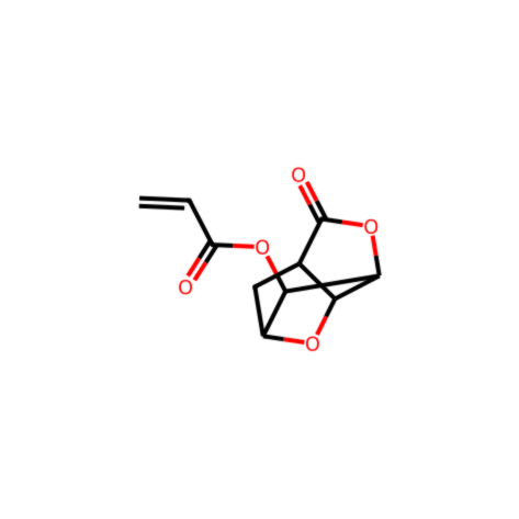 C=CC(=O)OC1C2CC3C(=O)OC1C3O2